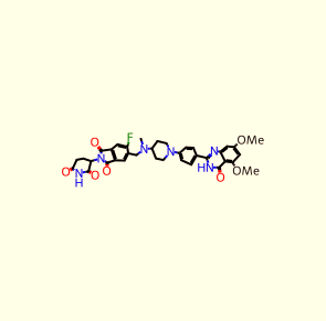 COc1cc(OC)c2c(=O)[nH]c(-c3ccc(N4CCC(N(C)Cc5cc6c(cc5F)C(=O)N(C5CCC(=O)NC5=O)C6=O)CC4)cc3)nc2c1